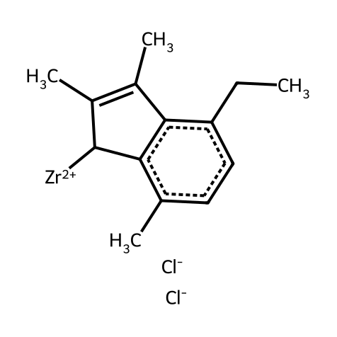 CCc1ccc(C)c2c1C(C)=C(C)[CH]2[Zr+2].[Cl-].[Cl-]